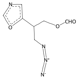 [N-]=[N+]=NCC(COC=O)c1cnco1